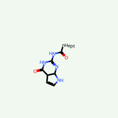 CCCCCCCC(=O)NC1=NC2NC=CC2C(=O)N1